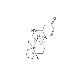 C[C@@]12CCC[C@H]1[C@@H]1CNC3CC(=O)C=C[C@]3(C)[C@H]1CC2